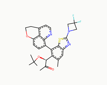 CC(=O)[C@@H](OC(C)(C)C)c1c(C)cc2nc(N3CC(F)(F)C3)sc2c1-c1ccc2c3c(ccnc13)CCO2